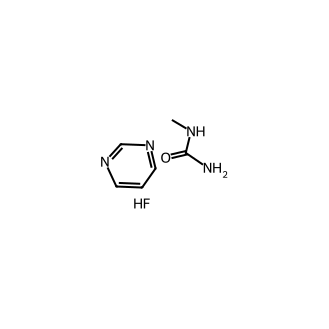 CNC(N)=O.F.c1cncnc1